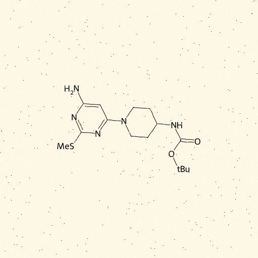 CSc1nc(N)cc(N2CCC(NC(=O)OC(C)(C)C)CC2)n1